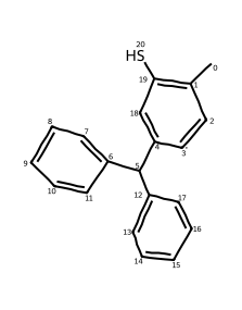 Cc1c[c]c(C(c2ccccc2)c2ccccc2)cc1S